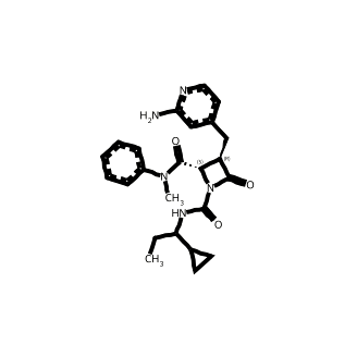 CCC(NC(=O)N1C(=O)[C@H](Cc2ccnc(N)c2)[C@H]1C(=O)N(C)c1ccccc1)C1CC1